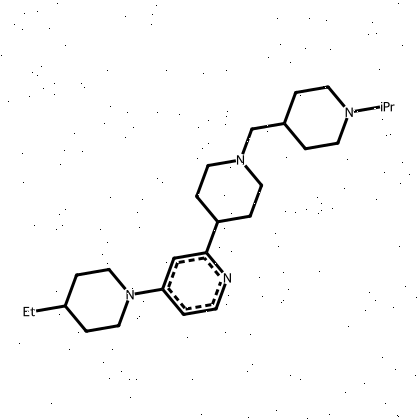 CCC1CCN(c2ccnc(C3CCN(CC4CCN(C(C)C)CC4)CC3)c2)CC1